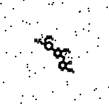 CCC1(CN)CCN(c2cnc(Sc3ccnc(N)c3Cl)c(N)n2)CC1